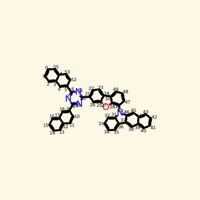 c1ccc2cc(-c3nc(-c4ccc5ccccc5c4)nc(-c4ccc5c(c4)oc4c(-n6c7ccccc7c7cc8ccccc8cc76)cccc45)n3)ccc2c1